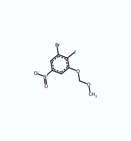 COCOc1cc([N+](=O)[O-])cc(Br)c1I